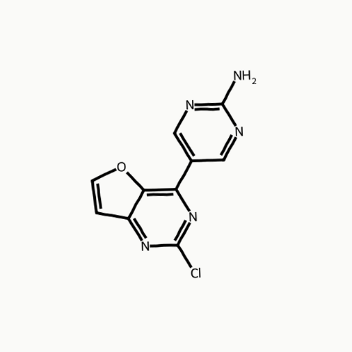 Nc1ncc(-c2nc(Cl)nc3ccoc23)cn1